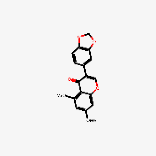 COc1cc(OC)c2c(=O)c(-c3ccc4c(c3)OCO4)coc2c1